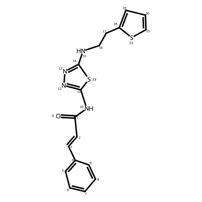 O=C(C=Cc1ccccc1)Nc1nnc(NCCc2cccs2)s1